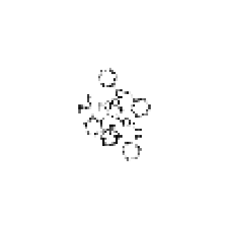 O=C(c1c(COc2ccccc2)cccc1COc1ccccc1)P(=O)(C(=O)c1c(C(F)(F)F)cccc1C(F)(F)F)c1ccccc1